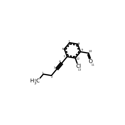 CCCC#Cc1cccc(C=O)c1Cl